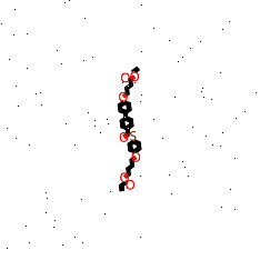 C=COC(=O)CCCOc1ccc(-c2ccc(C(=O)Sc3ccc(OCCCCOC(=O)C=C)cc3)cc2)cc1